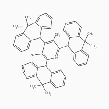 CC1(C)c2ccccc2N(c2nc(N3c4ccccc4C(C)(C)c4ccccc43)c(C(F)(F)F)c(N3c4ccccc4C(C)(C)c4ccccc43)c2C#N)c2ccccc21